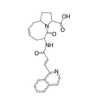 O=C(/C=C/c1nccc2ccccc12)NC1C/C=C\CC2CCC(C(=O)O)N2C1=O